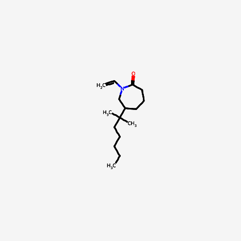 C=CN1CC(C(C)(C)CCCCC)CCCC1=O